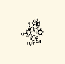 CC(NC(=O)[C@@H]1c2ccccc2C(=O)N([C@H]2CCCC[C@@H]2NS(C)(=O)=O)[C@H]1c1ccc(Cl)cc1Cl)C(N)=NO